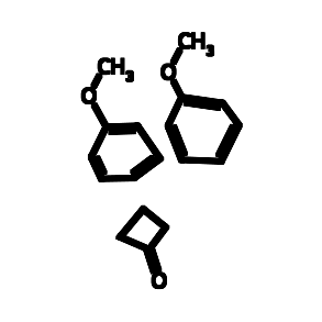 COc1ccccc1.COc1ccccc1.O=C1CCC1